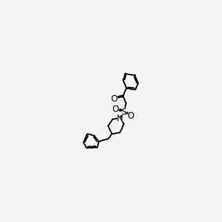 O=C(CS(=O)(=O)N1CCC(Cc2ccccc2)CC1)c1ccccc1